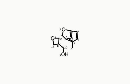 Cc1ccc2cc1CO2.OCC1COC1